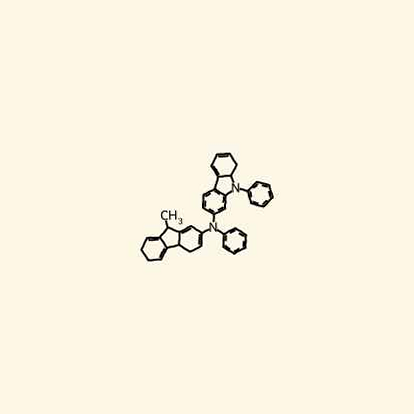 CC1C2=CCCC=C2C2CC=C(N(c3ccccc3)c3ccc4c(c3)N(c3ccccc3)C3CC=CC=C43)C=C12